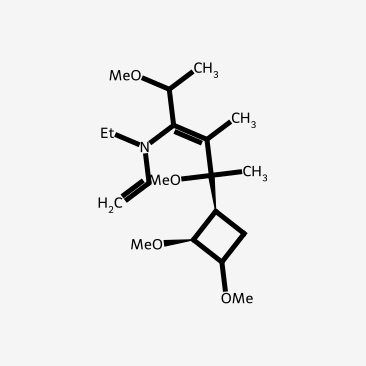 C=CN(CC)/C(=C(/C)C(C)(OC)[C@H]1CC(OC)[C@H]1OC)C(C)OC